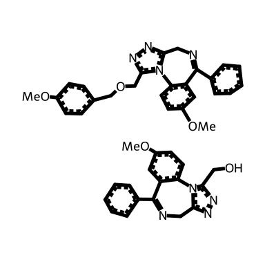 COc1ccc(COCc2nnc3n2-c2ccc(OC)cc2C(c2ccccc2)=NC3)cc1.COc1ccc2c(c1)C(c1ccccc1)=NCc1nnc(CO)n1-2